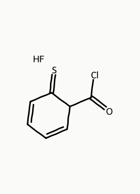 F.O=C(Cl)C1C=CC=CC1=S